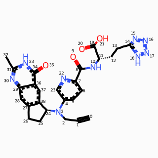 C#CCN(c1ccc(C(=O)N[C@@H](CCc2nnn[nH]2)C(=O)O)nc1)[C@H]1CCc2cc3nc(C)[nH]c(=O)c3cc21